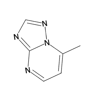 Cc1ccnc2ncnn12